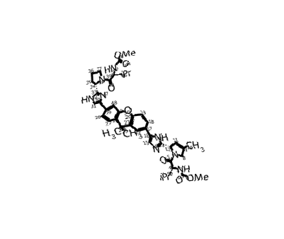 COC(=O)N[C@H](C(=O)N1CC(C)=C[C@H]1c1ncc(-c2ccc3c(c2)C(C)(C)c2ccc(-c4c[nH]c([C@@H]5CCCN5C(=O)[C@@H](NC(=O)OC)C(C)C)n4)cc2O3)[nH]1)C(C)C